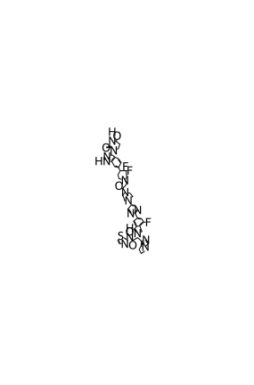 O=C1CCN(c2n[nH]c3cc(C4CCN(CC(=O)N5CCN(c6cnc(-c7cc(F)c8c(c7)C(=O)N(C(C(=O)Nc7nccs7)c7ncn9c7CCC9)C8)nc6)CC5)CC4(F)F)ccc23)C(=O)N1